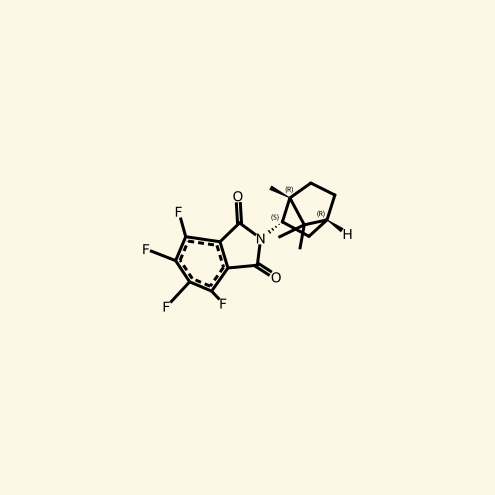 CC1(C)[C@@H]2CC[C@@]1(C)[C@@H](N1C(=O)c3c(F)c(F)c(F)c(F)c3C1=O)C2